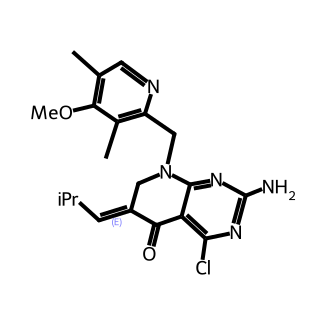 COc1c(C)cnc(CN2C/C(=C\C(C)C)C(=O)c3c(Cl)nc(N)nc32)c1C